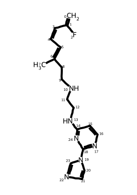 C=C(F)/C=C\C=C(/C)CCNCCNc1ccnc(-n2ccnc2)n1